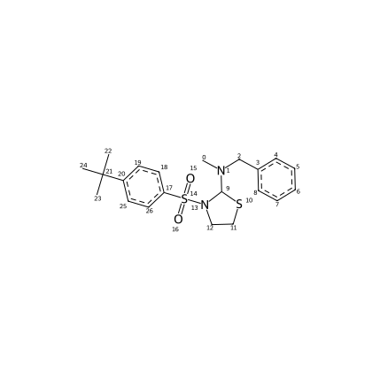 CN(Cc1ccccc1)C1SCCN1S(=O)(=O)c1ccc(C(C)(C)C)cc1